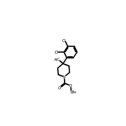 CC(C)(C)OC(=O)N1CCC(C#N)(c2cccc(Cl)c2Cl)CC1